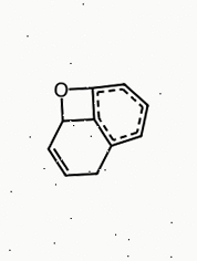 C1=CC2Oc3cccc(c32)C1